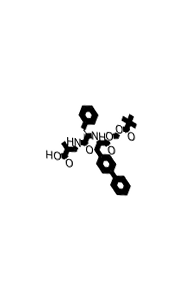 CC(CNC(=O)[C@H](Cc1ccccc1)NC(Cc1ccc(-c2ccccc2)cc1)C(=O)OCOC(=O)C(C)(C)C)C(=O)O